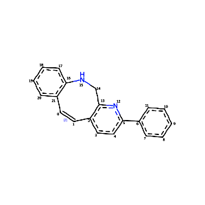 C1=C\c2ccc(-c3ccccc3)nc2CNc2ccccc2/1